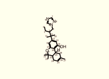 CCC(Cn1cncn1)C(C)(C)c1cc(O)c2c(c1)OC(C)(C)C1CC=C(C)C[C@@H]21